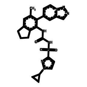 Cc1cc2c(c(NC(=O)NS(=O)(=O)c3ccn(C4CC4)n3)c1-c1ccn3nncc3c1)CCC2